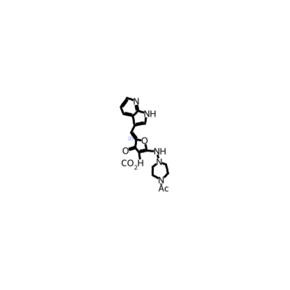 CC(=O)N1CCN(NC2=C(C(=O)O)C(=O)/C(=C/c3c[nH]c4ncccc34)O2)CC1